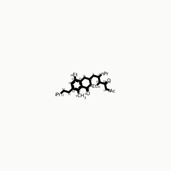 CCCC(CC1CC(=O)c2c(C)c(CCC(C)C)cc(CC)c2C1)C(CC)C(=O)CC(C)=O